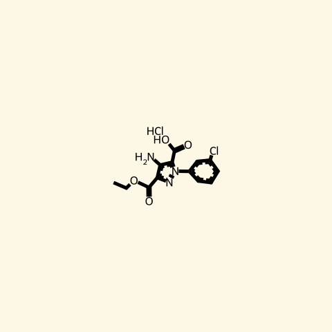 CCOC(=O)c1nn(-c2cccc(Cl)c2)c(C(=O)O)c1N.Cl